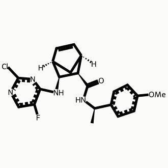 COc1ccc([C@@H](C)NC(=O)[C@H]2[C@@H](Nc3nc(Cl)ncc3F)[C@H]3C=C[C@@H]2C3)cc1